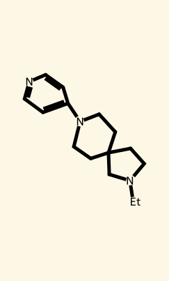 CCN1CCC2(CCN(c3ccncc3)CC2)C1